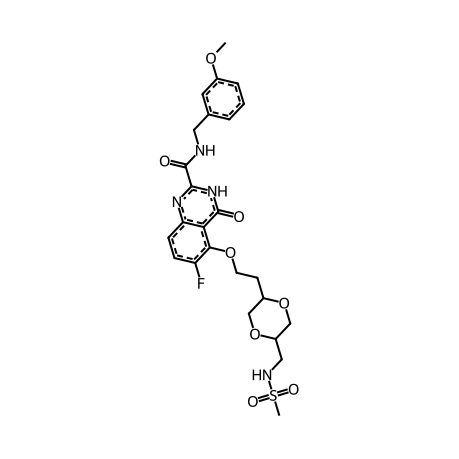 COc1cccc(CNC(=O)c2nc3ccc(F)c(OCCC4COC(CNS(C)(=O)=O)CO4)c3c(=O)[nH]2)c1